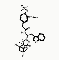 COc1cc(CC(=O)N[C@@H](Cc2coc3ccccc23)B2O[C@@H]3C[C@@H]4C[C@@H](C4(C)C)[C@]3(C)O2)ccc1N=S(C)(C)=O